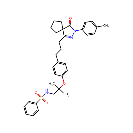 Cc1ccc(N2N=C(CCCc3ccc(OC(C)(C)CNS(=O)(=O)c4ccccc4)cc3)C3(CCCC3)C2=O)cc1